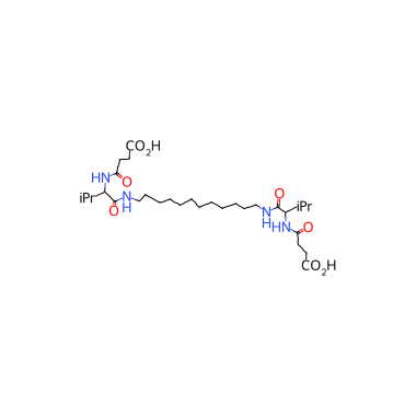 CC(C)C(NC(=O)CCC(=O)O)C(=O)NCCCCCCCCCCCCNC(=O)C(NC(=O)CCC(=O)O)C(C)C